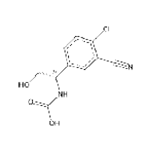 N#Cc1cc([C@@H](CO)NC(=O)O)ccc1Cl